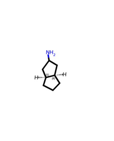 NC1C[C@H]2CCC[C@H]2C1